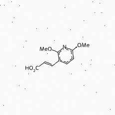 COc1ccc(/C=C/C(=O)O)c(OC)n1